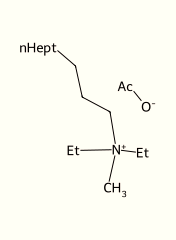 CC(=O)[O-].CCCCCCCCCC[N+](C)(CC)CC